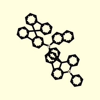 c1ccc(N2c3ccccc3C3(c4ccccc4)c4cc(N(c5ccc6c(c5)C5(c7ccccc7-c7ccccc75)c5ccccc5-6)c5ccc6ccccc6c5)ccc4-c4cccc2c43)cc1